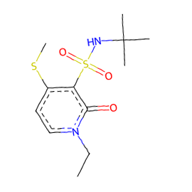 CCn1ccc(SC)c(S(=O)(=O)NC(C)(C)C)c1=O